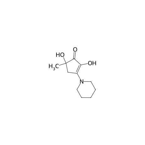 CC1(O)CC(N2CCCCC2)=C(O)C1=O